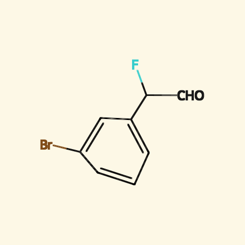 O=CC(F)c1cccc(Br)c1